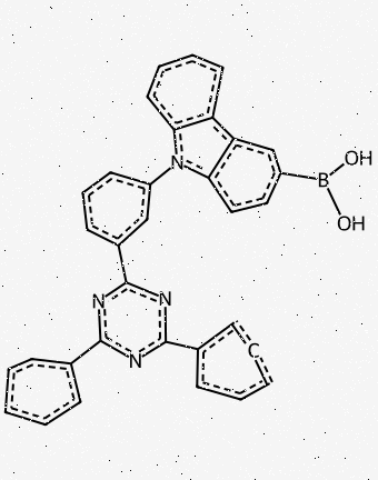 OB(O)c1ccc2c(c1)c1ccccc1n2-c1cccc(-c2nc(-c3ccccc3)nc(-c3ccccc3)n2)c1